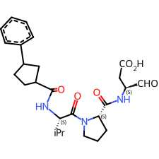 CC(C)[C@H](NC(=O)C1CCC(c2ccccc2)C1)C(=O)N1CCC[C@H]1C(=O)N[C@H](C=O)CC(=O)O